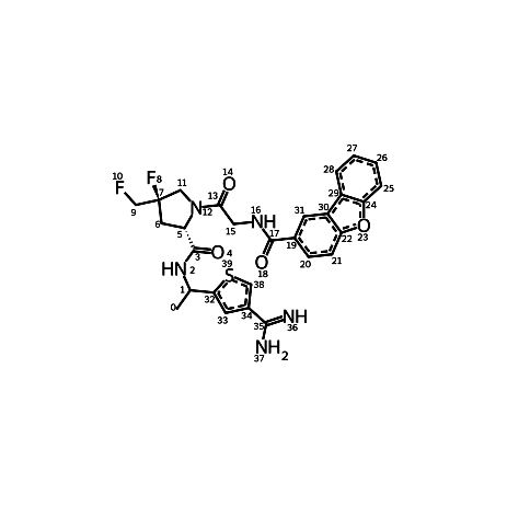 CC(NC(=O)[C@@H]1C[C@](F)(CF)CN1C(=O)CNC(=O)c1ccc2oc3ccccc3c2c1)c1cc(C(=N)N)cs1